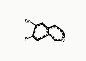 Fc1cc2cnccc2cc1Br